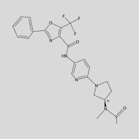 CC(=O)N(C)[C@@H]1CCN(c2ccc(NC(=O)c3nc(-c4ccccc4)oc3C(F)(F)F)cn2)C1